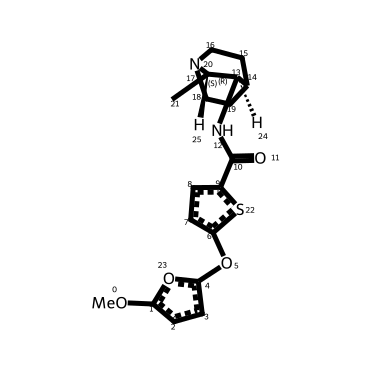 COc1ccc(Oc2ccc(C(=O)N[C@@H]3C4CCN(CC4)[C@H]3C)s2)o1